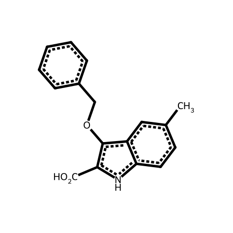 Cc1ccc2[nH]c(C(=O)O)c(OCc3ccccc3)c2c1